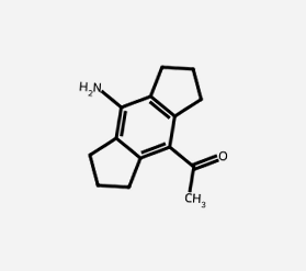 CC(=O)c1c2c(c(N)c3c1CCC3)CCC2